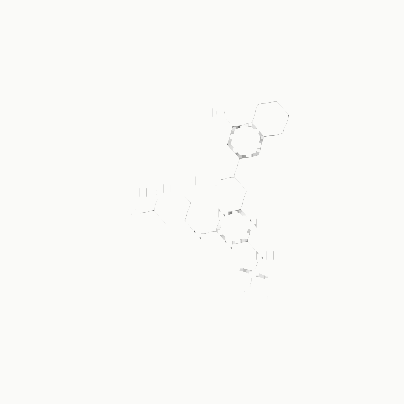 CC(C)C[C@H](CO)Nc1nc(CC(C)c2cc(O)c3c(c2)CCCC3)nc(NS(C)(=O)=O)n1